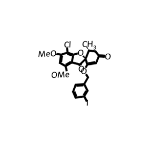 COc1cc(OC)c2c(c1Cl)O[C@]1(C2=O)C(OCc2cccc(I)c2)=CC(=O)C[C@H]1C